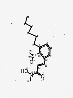 CCCCCCc1cccc(C=CC(=O)N(C)O)c1[S+](C)[O-]